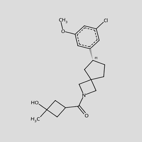 COc1cc(Cl)cc([C@@H]2CCC3(C2)CN(C(=O)C2CC(C)(O)C2)C3)c1